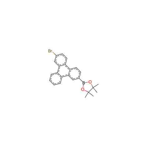 CC1(C)OB(c2ccc3c4ccc(Br)cc4c4ccccc4c3c2)OC1(C)C